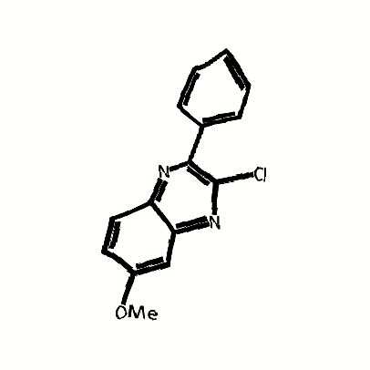 COc1ccc2nc(-c3ccccc3)c(Cl)nc2c1